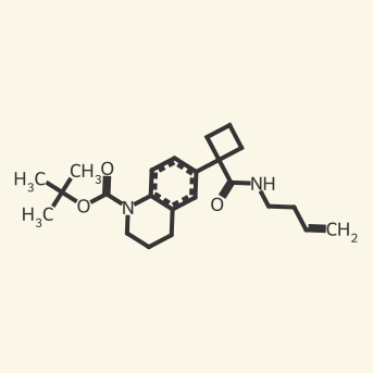 C=CCCNC(=O)C1(c2ccc3c(c2)CCCN3C(=O)OC(C)(C)C)CCC1